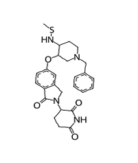 CSNC1CCN(Cc2ccccc2)CC1Oc1ccc2c(c1)CN(C1CCC(=O)NC1=O)C2=O